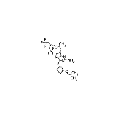 CC(C)COc1cccc(Sc2nc(N)nc3c2ncn3CC(C)OCP(CC(F)(F)F)CC(F)(F)F)c1